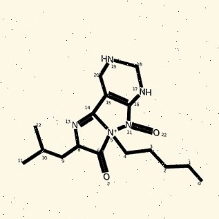 CCCCC[N+]12C(=O)C(CC(C)C)N=C1C1=C(NCNC1)[N+]2=O